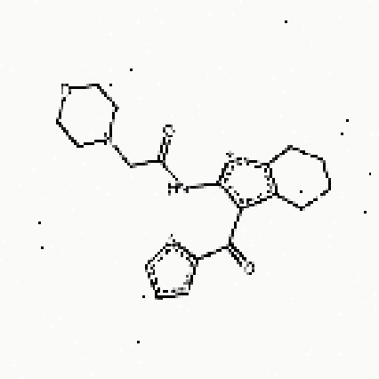 O=C(CN1CCOCC1)Nc1sc2c(c1C(=O)c1cccs1)CCCC2